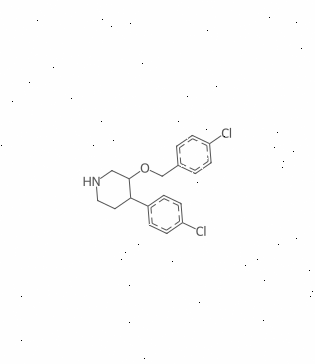 Clc1ccc(COC2CNCCC2c2ccc(Cl)cc2)cc1